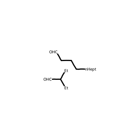 CCC(C=O)CC.CCCCCCCCCCC=O